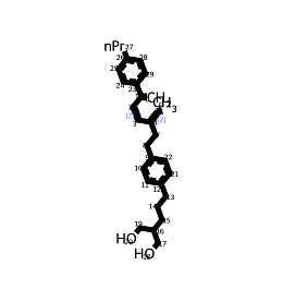 C=C(/C=C\C(=C/C)CCc1ccc(CCCC(CO)CO)cc1)c1ccc(CCC)cc1